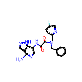 Nc1ncc(NC(=O)C(=O)N(Cc2ccccc2)Cc2ccc(F)cn2)c2[nH]ncc12